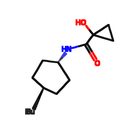 CCC(C)[C@H]1CC[C@H](NC(=O)C2(O)CC2)CC1